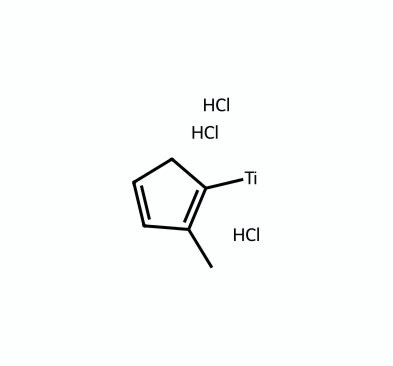 CC1=[C]([Ti])CC=C1.Cl.Cl.Cl